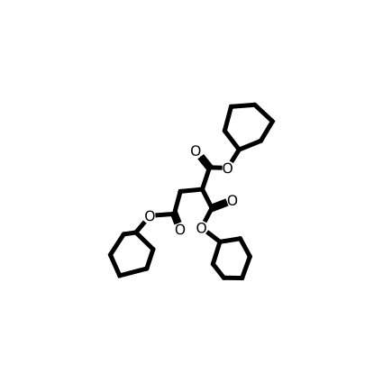 O=C(CC(C(=O)OC1CCCCC1)C(=O)OC1CCCCC1)OC1CCCCC1